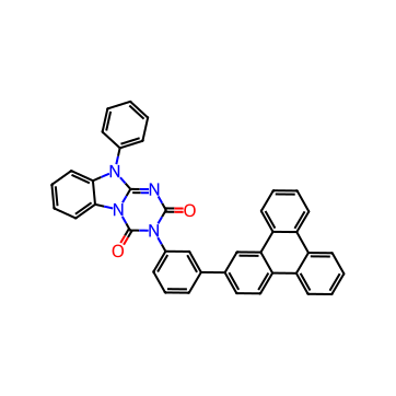 O=c1nc2n(-c3ccccc3)c3ccccc3n2c(=O)n1-c1cccc(-c2ccc3c4ccccc4c4ccccc4c3c2)c1